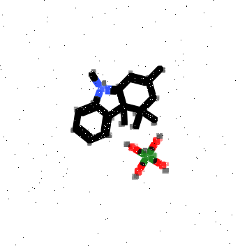 CC1=CC2=[N+](C)c3ccccc3C2(C)C(C)(C)C1.[O-][Cl+3]([O-])([O-])[O-]